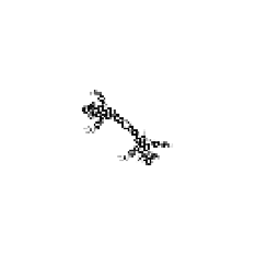 CC(C)c1cccc(C(C)C)c1N1C(=O)c2cc(Oc3ccc(C(C)(C)C)cc3)c3c4cccc5c(-c6cc7cc8c(cc7cc6Cl)/C=C\c6cc7cc(Cl)c(-c9ccc%10c%11c(Oc%12ccc(C(C)(C)C)cc%12)cc%12c%13c(cc(Oc%14ccc(C(C)(C)C)cc%14)c(c%14cccc9c%14%10)c%13%11)C(=O)N(c9c(C(C)C)cccc9C(C)C)C%12=O)cc7cc6/C=C\8)ccc(c6c(Oc7ccc(C(C)(C)C)cc7)cc(c2c36)C1=O)c54